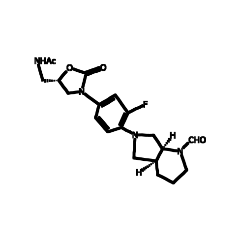 CC(=O)NC[C@H]1CN(c2ccc(N3C[C@@H]4CCCN(C=O)[C@@H]4C3)c(F)c2)C(=O)O1